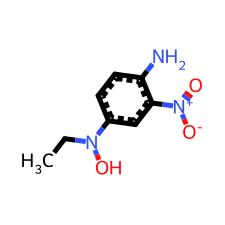 CCN(O)c1ccc(N)c([N+](=O)[O-])c1